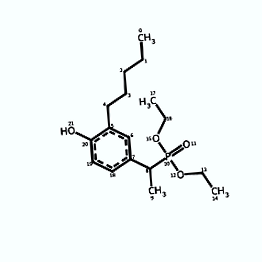 CCCCCc1cc(C(C)P(=O)(OCC)OCC)ccc1O